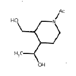 CC(=O)N1CCC(C(C)O)C(CO)C1